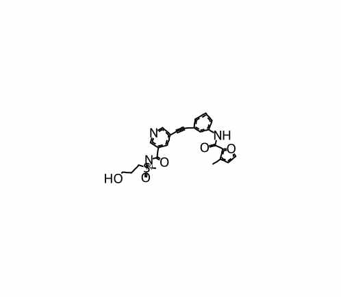 Cc1ccoc1C(=O)Nc1cccc(C#Cc2cncc(C(=O)N=[S@](C)(=O)CCCO)c2)c1